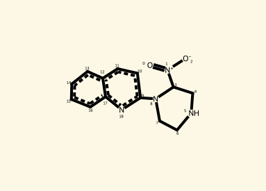 O=[N+]([O-])C1CNCCN1c1ccc2ccccc2n1